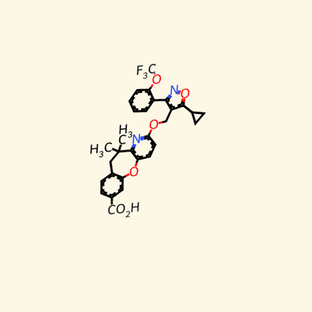 CC1(C)Cc2ccc(C(=O)O)cc2Oc2ccc(OCc3c(-c4ccccc4OC(F)(F)F)noc3C3CC3)nc21